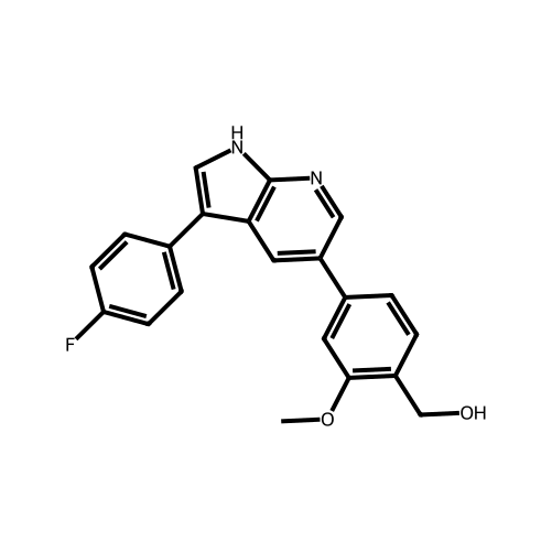 COc1cc(-c2cnc3[nH]cc(-c4ccc(F)cc4)c3c2)ccc1CO